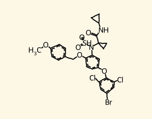 COc1ccc(COc2ccc(Oc3c(Cl)cc(Br)cc3Cl)cc2N([SH](=O)=O)C2(C(=O)NC3CC3)CC2)cc1